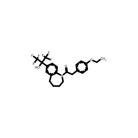 CCOc1ccc(CC(=O)N2CCCCc3cc(C(O)(C(F)(F)F)C(F)(F)F)ccc32)cc1